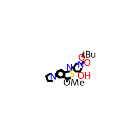 C=C(OC)c1cc(N2CCCC2)ccc1-c1nc2c(s1)C(O)CN(C(=O)OC(C)(C)C)C2